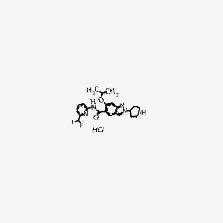 CC(C)Oc1cc2nn(C3CCNCC3)cc2cc1C(=O)Nc1cccc(C(F)F)n1.Cl